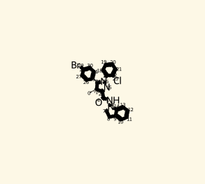 C[C@H]1C(C(=O)NN2CCc3ccccc32)=NN(c2ccccc2Cl)[C@H]1c1ccc(Br)cc1